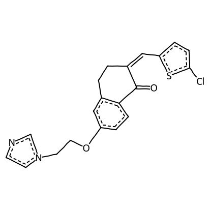 O=C1C(=Cc2ccc(Cl)s2)CCc2cc(OCCn3ccnc3)ccc21